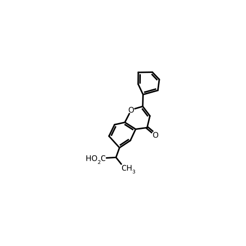 CC(C(=O)O)c1ccc2oc(-c3ccccc3)cc(=O)c2c1